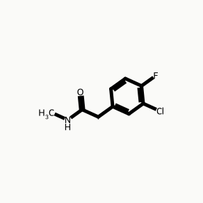 CNC(=O)[CH]c1ccc(F)c(Cl)c1